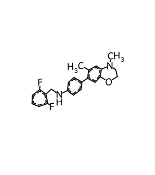 Cc1cc2c(cc1-c1ccc(NCc3c(F)cccc3F)cc1)OCCN2C